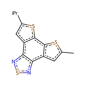 Cc1cc2c3nsnc3c3cc(C(C)C)sc3c2s1